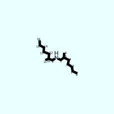 CCCCCC(C)CNCC(C)CCCCC